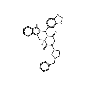 O=C1[C@H]2Cc3c([nH]c4ccccc34)[C@@H](c3ccc4c(c3)OCO4)N2C(=O)CN1[C@H]1CCN(Cc2ccccc2)C1